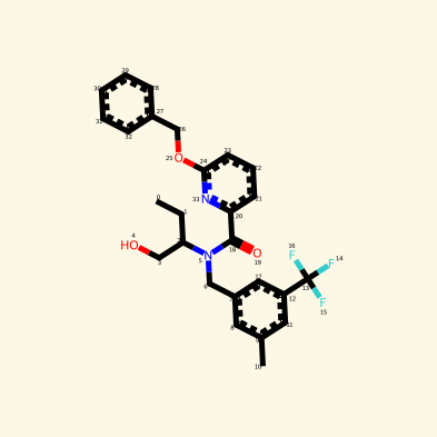 CCC(CO)N(Cc1cc(C)cc(C(F)(F)F)c1)C(=O)c1cccc(OCc2ccccc2)n1